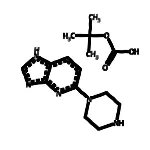 CC(C)(C)OC(=O)O.c1nc2nc(N3CCNCC3)ccc2[nH]1